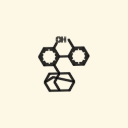 Cc1ccccc1-c1c(O)cccc1C12CC3CC(CC(C3)C1)C2